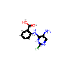 Nc1cnc(Cl)nc1Nc1ccccc1C(=O)O